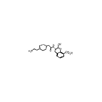 NCCN1CCC(CC(=O)N[C@H]2Cc3cccc(C(=O)O)c3OB2O)CC1